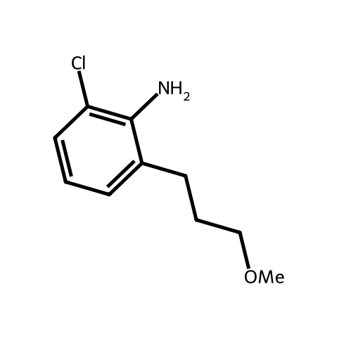 COCCCc1cccc(Cl)c1N